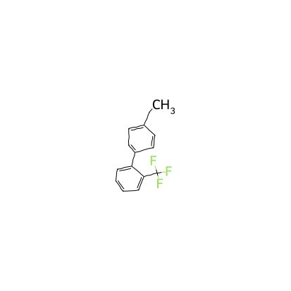 CCc1ccc(-c2ccccc2C(F)(F)F)cc1